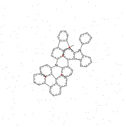 CC1(C)c2ccccc2-c2ccc(N(c3ccccc3-c3cccc4cccc(-c5ccccc5)c34)c3ccccc3-c3cccc4c3c3ccccc3n4-c3ccccc3)cc21